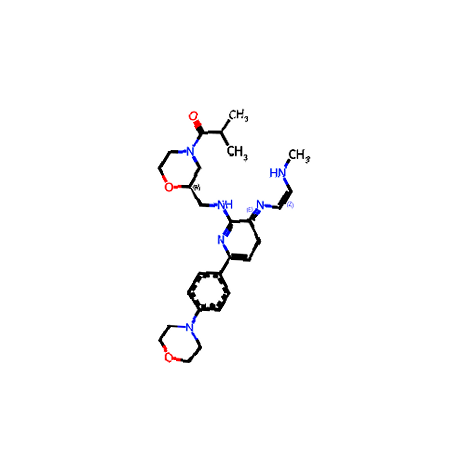 CN/C=C\N=C1/CC=C(c2ccc(N3CCOCC3)cc2)N=C1NC[C@@H]1CN(C(=O)C(C)C)CCO1